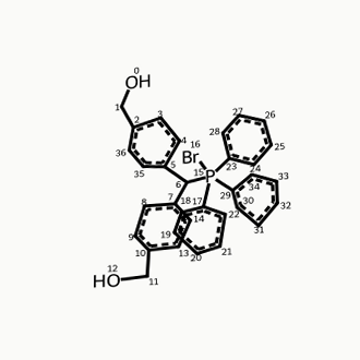 OCc1ccc(C(c2ccc(CO)cc2)P(Br)(c2ccccc2)(c2ccccc2)c2ccccc2)cc1